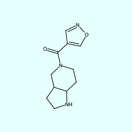 O=C(c1cnoc1)N1CCC2NCCC2C1